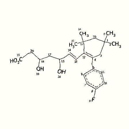 CC1(C)CC(c2ccc(F)cc2)=C(/C=C/C(O)CC(O)CC(=O)O)C(C)(C)C1